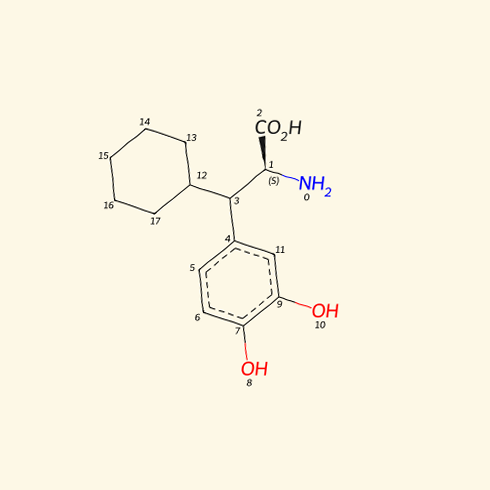 N[C@H](C(=O)O)C(c1ccc(O)c(O)c1)C1CCCCC1